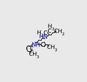 C=CCCC(CNCCCCC(CNC/C1=C/C=C\CC(C)CC1)CC1=CC=C(CC)CC1)C(=C)C